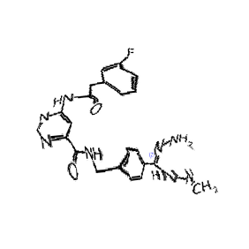 C=NN/C(=N\N)c1ccc(CNC(=O)c2cc(NC(=O)Cc3cccc(F)c3)ncn2)cc1